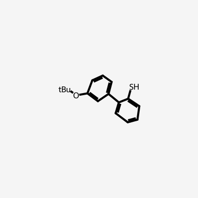 CC(C)(C)Oc1cccc(-c2ccccc2S)c1